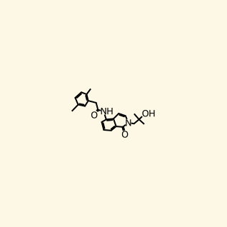 Cc1ccc(C)c(CC(=O)Nc2cccc3c(=O)n(CC(C)(C)O)ccc23)c1